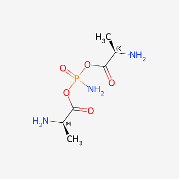 C[C@@H](N)C(=O)OP(N)(=O)OC(=O)[C@@H](C)N